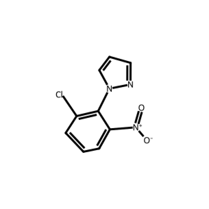 O=[N+]([O-])c1cccc(Cl)c1-n1cccn1